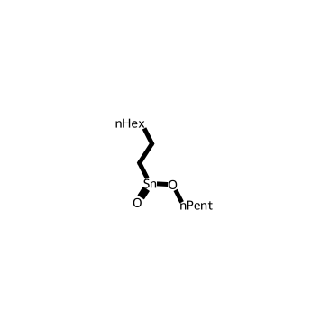 CCCCCCC[CH2][Sn](=[O])[O]CCCCC